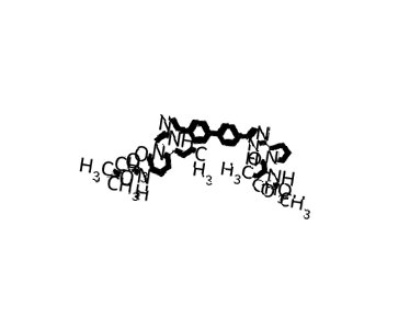 CCCC[C@@H]1CC[C@H](NC(=O)OC(C)(C)C)C(=O)N1Cc1ncc(-c2ccc(-c3ccc(-c4cnc([C@@H]5CCCN5C(=O)[C@@H](NC(=O)OC)C(C)C)[nH]4)cc3)cc2)[nH]1